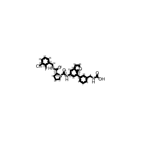 O=C(O)NCc1cccc(-c2cc(NC(=O)N3CCC[C@H]3C(=O)NCc3cccc(Cl)c3F)cc3ccoc23)c1